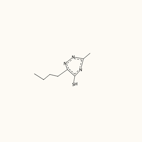 CCCCc1nnc(C)nc1S